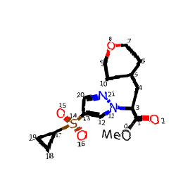 COC(=O)C(CC1CCOCC1)n1cc(S(=O)(=O)C2CC2)cn1